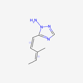 C/C=C(C)\C=C/c1ncnn1N